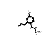 C=CCc1cc(O)ccc1CCCCCCCCC